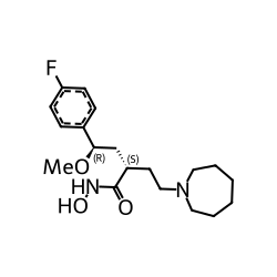 CO[C@H](C[C@H](CCN1CCCCCC1)C(=O)NO)c1ccc(F)cc1